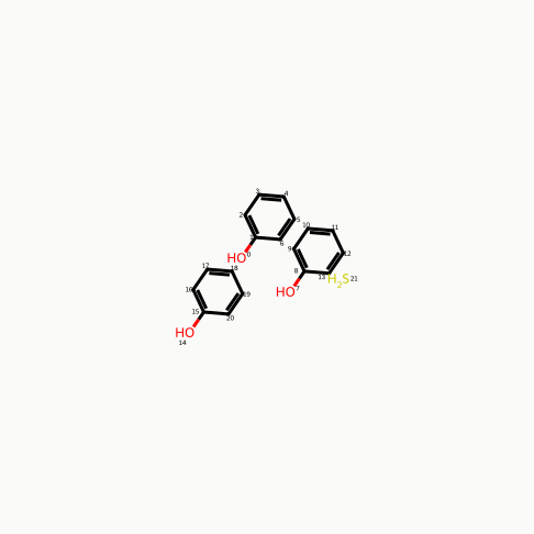 Oc1ccccc1.Oc1ccccc1.Oc1ccccc1.S